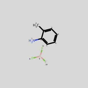 Cc1ccccc1N.FB(F)F